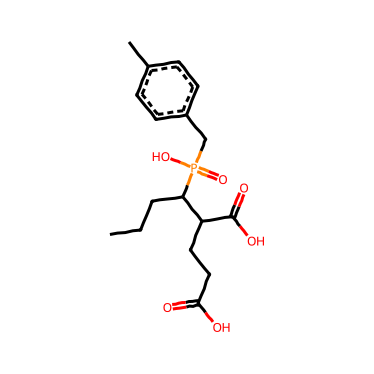 CCCC(C(CCC(=O)O)C(=O)O)P(=O)(O)Cc1ccc(C)cc1